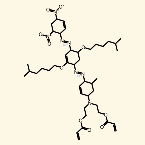 C=CC(=O)OCCN(CCOC(=O)C=C)C1C=CC(/N=N/C2CC(OCCCCC(C)C)C(/N=N/C3C=CC([N+](=O)[O-])CC3[N+](=O)[O-])C=C2OCCCCC(C)C)C(C)C1